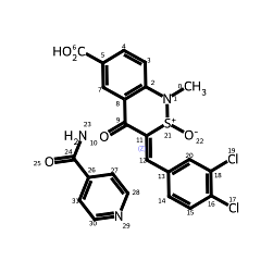 CN1c2ccc(C(=O)O)cc2C(=O)/C(=C/c2ccc(Cl)c(Cl)c2)[S+]1[O-].NC(=O)c1ccncc1